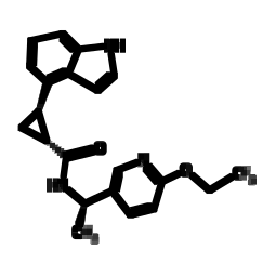 C[C@@H](NC(=O)[C@@H]1C[C@H]1c1cccc2[nH]ccc12)c1ccc(OCC(F)(F)F)nc1